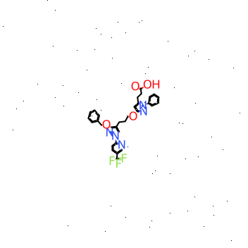 O=C(O)CCc1cc(OCCCc2cn(-c3ccc(C(F)(F)F)cn3)nc2OCc2ccccc2)nn1-c1ccccc1